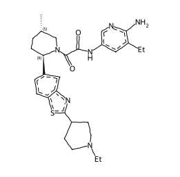 CCc1cc(NC(=O)C(=O)N2C[C@@H](C)CC[C@@H]2c2ccc3sc(C4CCN(CC)CC4)nc3c2)cnc1N